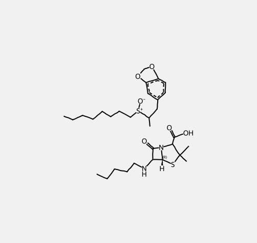 CCCCCCCC[S+]([O-])C(C)Cc1ccc2c(c1)OCO2.CCCCCNC1C(=O)N2C(C(=O)O)C(C)(C)S[C@H]12